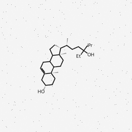 CCC(O)(CC[C@@H](C)[C@H]1CCC2C3CC=C4C[C@@H](O)CC[C@]4(C)C3CC[C@@]21C)C(C)C